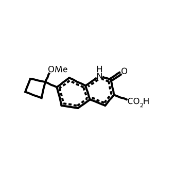 COC1(c2ccc3cc(C(=O)O)c(=O)[nH]c3c2)CCC1